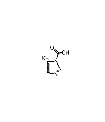 O=C(O)n1ccnn1.[KH]